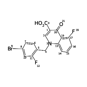 O=C(O)c1cn(Cc2ccc(Br)cc2F)c2cccc(F)c2c1=O